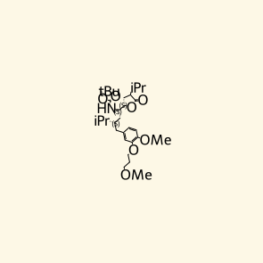 COCCCOc1cc(C[C@@H](C[C@H](NC(=O)OC(C)(C)C)[C@@H]2CC(C(C)C)C(=O)O2)C(C)C)ccc1OC